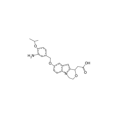 CC(C)Oc1ccc(COc2ccc3c(c2)cc2n3CCOC2CC(=O)O)cc1N